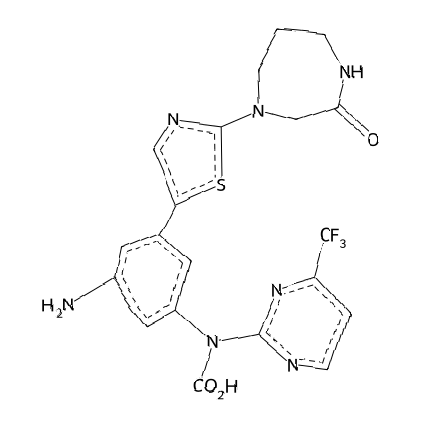 Nc1cc(-c2cnc(N3CCCNC(=O)C3)s2)cc(N(C(=O)O)c2nccc(C(F)(F)F)n2)c1